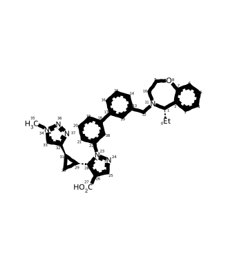 CC[C@H]1c2ccccc2OCCN1Cc1cccc(-c2cccc(-n3ncc(C(=O)O)c3[C@@H]3C[C@H]3c3cn(C)nn3)c2)c1